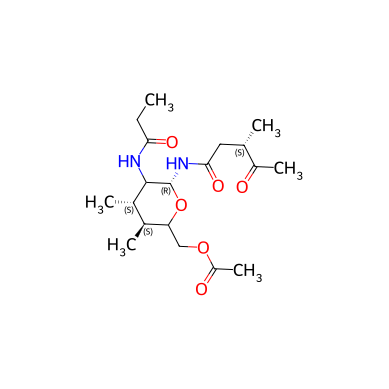 CCC(=O)NC1[C@H](NC(=O)C[C@H](C)C(C)=O)OC(COC(C)=O)[C@@H](C)[C@@H]1C